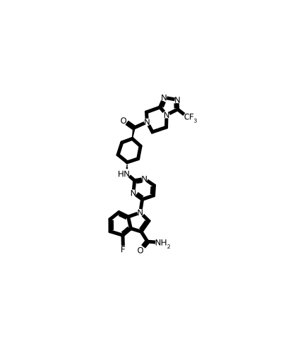 NC(=O)c1cn(-c2ccnc(N[C@H]3CC[C@H](C(=O)N4CCn5c(nnc5C(F)(F)F)C4)CC3)n2)c2cccc(F)c12